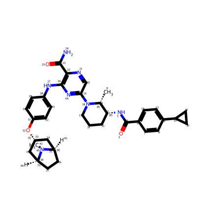 C[C@@H]1[C@H](NC(=O)c2ccc(C3CC3)cc2)CCCN1c1cnc(C(N)=O)c(Nc2ccc(O[C@@H]3C[C@H]4CC[C@@H](C3)N4C)cc2)n1